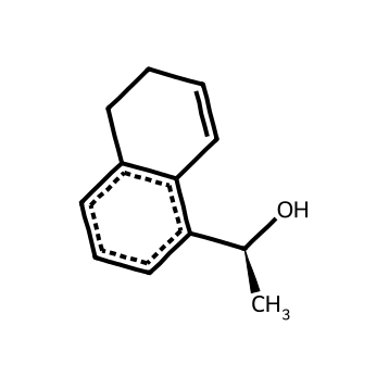 C[C@H](O)c1cccc2c1C=CCC2